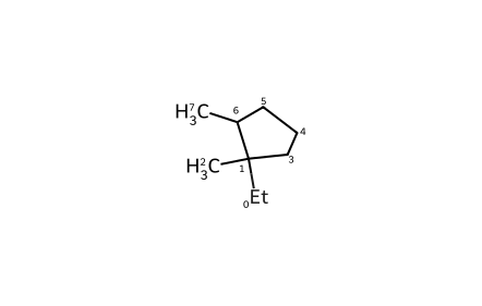 CCC1(C)CCCC1C